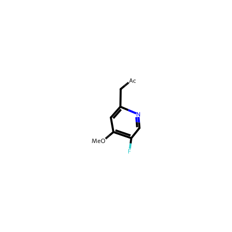 COc1cc(CC(C)=O)ncc1F